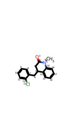 CN1C(=O)CC(Cc2ccccc2Cl)c2ccccc21